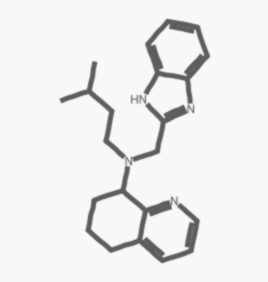 CC(C)CCN(Cc1nc2ccccc2[nH]1)C1CCCc2cccnc21